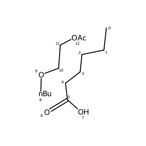 CCCCCC(=O)O.CCCCOCCOC(C)=O